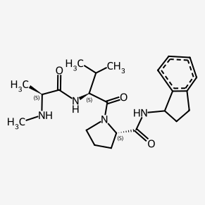 CN[C@@H](C)C(=O)N[C@H](C(=O)N1CCC[C@H]1C(=O)NC1CCc2ccccc21)C(C)C